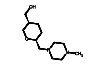 CN1CCN(C[C@@H]2CC[C@H](CO)CO2)CC1